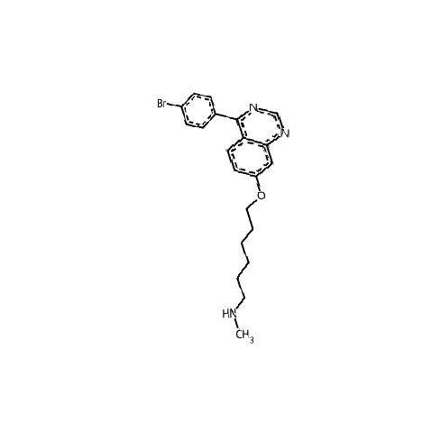 CNCCCCCCOc1ccc2c(-c3ccc(Br)cc3)ncnc2c1